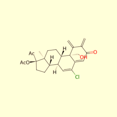 C=C1C(=C)[C@@]2(CO)C(=CC1=O)C(Cl)=C[C@@H]1[C@@H]2CC[C@@]2(C)[C@H]1CC[C@]2(OC(C)=O)C(C)=O